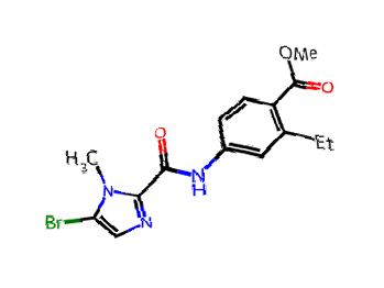 CCc1cc(NC(=O)c2ncc(Br)n2C)ccc1C(=O)OC